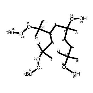 CC(C)(C)OOC(C)(C)CC(CC(C)(CCC(C)(C)OO)OO)C(C)(C)OOC(C)(C)C